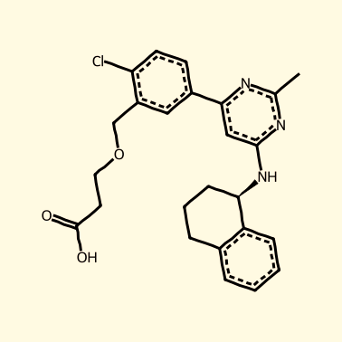 Cc1nc(N[C@@H]2CCCc3ccccc32)cc(-c2ccc(Cl)c(COCCC(=O)O)c2)n1